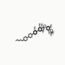 CCCCCC1CCC(C2CCC(c3ccc(-c4cc(F)c(C(F)(F)Oc5ccc(OC(F)(F)F)c(F)c5)c(F)c4)c(F)c3)CC2)CC1